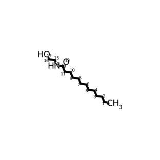 CCCCCCCCCCCCC(=O)NCCO